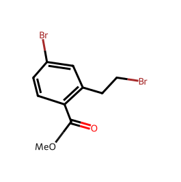 COC(=O)c1ccc(Br)cc1CCBr